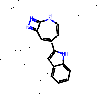 [c]1c(-c2cc3ccccc3[nH]2)cc[nH]c2nnc1-2